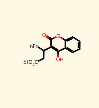 CCCC(CC(=O)OCC)c1c(O)c2ccccc2oc1=O